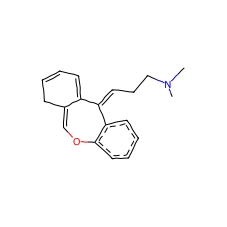 CN(C)CCC=C1C2=CC=CCC2=COc2ccccc21